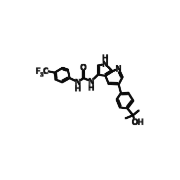 CC(C)(O)c1ccc(-c2cnc3[nH]cc(NC(=O)Nc4ccc(C(F)(F)F)cc4)c3c2)cc1